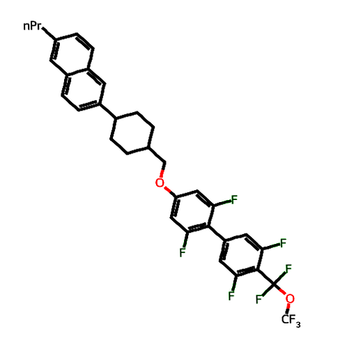 CCCc1ccc2cc(C3CCC(COc4cc(F)c(-c5cc(F)c(C(F)(F)OC(F)(F)F)c(F)c5)c(F)c4)CC3)ccc2c1